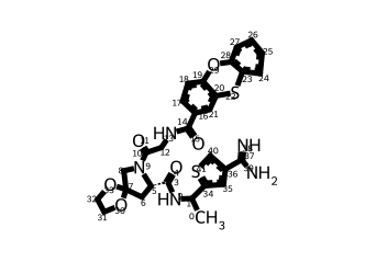 CC(NC(=O)[C@@H]1CC2(CN1C(=O)CNC(=O)c1ccc3c(c1)Sc1ccccc1O3)OCCO2)c1cc(C(=N)N)cs1